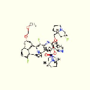 C#Cc1c(F)ccc2cc(OCOC)cc(-c3ncc4c(N5C[C@H]6CC[C@@H](C5)N6C(=O)OC(C)(C)C)c(C#N)c(OC[C@@]56CCCN5C[C@H](F)C6)nc4c3F)c12